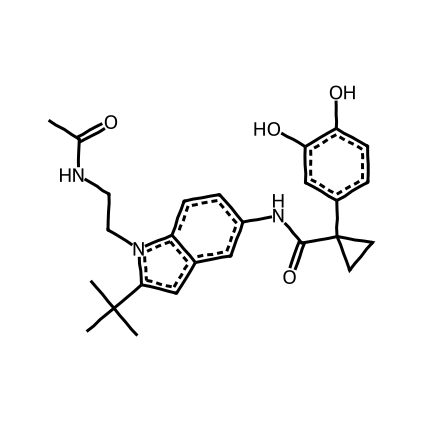 CC(=O)NCCn1c(C(C)(C)C)cc2cc(NC(=O)C3(c4ccc(O)c(O)c4)CC3)ccc21